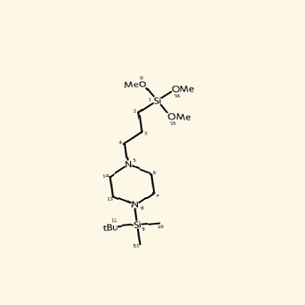 CO[Si](CCCN1CCN([Si](C)(C)C(C)(C)C)CC1)(OC)OC